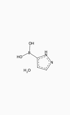 O.OB(O)c1ccn[nH]1